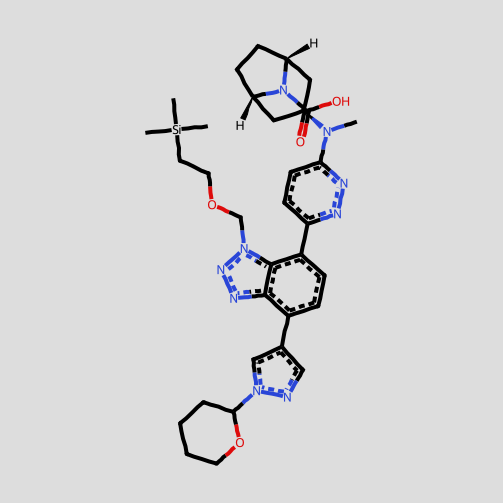 CN(c1ccc(-c2ccc(-c3cnn(C4CCCCO4)c3)c3nnn(COCC[Si](C)(C)C)c23)nn1)[C@@H]1C[C@H]2CC[C@@H](C1)N2C(=O)O